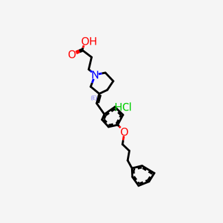 Cl.O=C(O)CCN1CCC/C(=C\c2ccc(OCCCc3ccccc3)cc2)C1